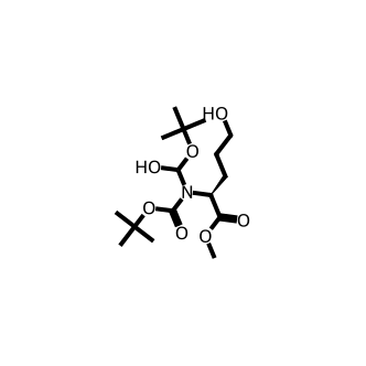 COC(=O)[C@H](CCCO)N(C(=O)OC(C)(C)C)C(O)OC(C)(C)C